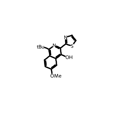 COc1ccc2c(C(C)(C)C)nc(-c3nccs3)c(O)c2c1